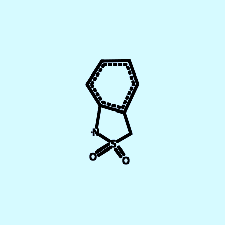 O=S1(=O)Cc2ccccc2[N]1